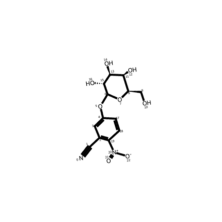 N#Cc1cc(OC2O[C@H](CO)[C@H](O)[C@H](O)[C@H]2O)ccc1[N+](=O)[O-]